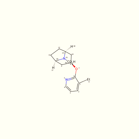 CCc1cccnc1O[C@H]1C[C@H]2CC[C@@H](C1)N2C(=O)O